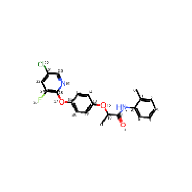 Cc1ccccc1NC(=O)C(C)Oc1ccc(Oc2ncc(Cl)cc2F)cc1